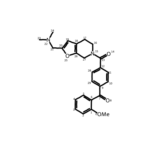 COc1ccccc1C(=O)c1ccc(C(=O)N2CCc3cc(CN(C)C)oc3C2)cc1